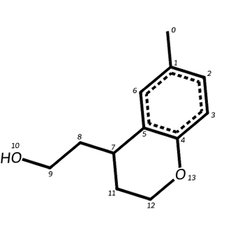 Cc1ccc2c(c1)C(CCO)CCO2